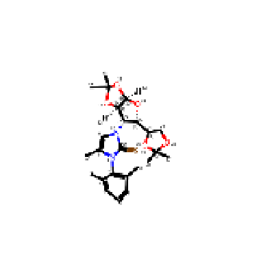 Cc1cccc(C)c1-n1c(C)cn([C@@H]2[C@H]3OC(C)(C)O[C@H]3O[C@@H]2[C@H]2COC(C)(C)O2)c1=S